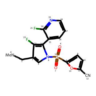 CNCc1cn(S(=O)(=O)c2ccc(C#N)o2)c(-c2cccnc2F)c1F